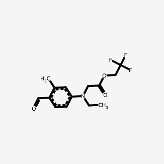 CCN(CC(=O)OCC(F)(F)F)c1ccc(C=O)c(C)c1